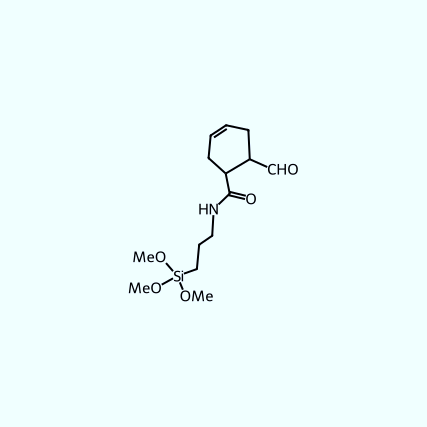 CO[Si](CCCNC(=O)C1CC=CCC1C=O)(OC)OC